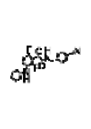 COC(C(=O)NCc1ccc(C#N)cc1)c1c(F)ccc(Nc2ccccc2)c1F